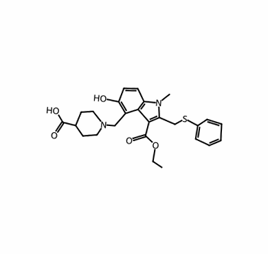 CCOC(=O)c1c(CSc2ccccc2)n(C)c2ccc(O)c(CN3CCC(C(=O)O)CC3)c12